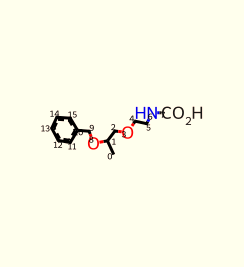 CC(COCCNC(=O)O)OCc1ccccc1